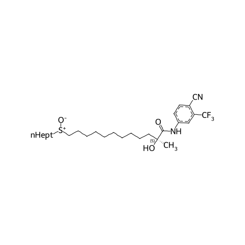 CCCCCCC[S+]([O-])CCCCCCCCCC[C@](C)(O)C(=O)Nc1ccc(C#N)c(C(F)(F)F)c1